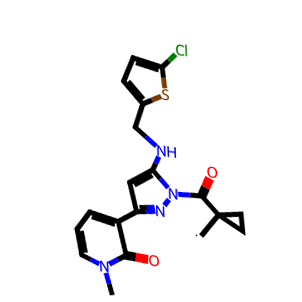 [CH2]C1(C(=O)n2nc(-c3cccn(C)c3=O)cc2NCc2ccc(Cl)s2)CC1